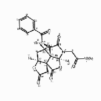 CNC(=O)CN1C(=O)[C@H](OC(=O)c2ccccc2)[C@@]23[C@@H]1OC(=O)[C@@]21CC(=O)O[C@H]1C[C@@]3(O)C(C)(C)C